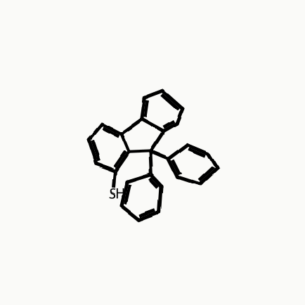 Sc1cccc2c1C(c1ccccc1)(c1ccccc1)c1ccccc1-2